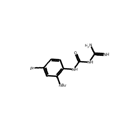 CCCCc1cc(Br)ccc1NC(=O)NC(=N)N